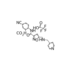 N#Cc1ccc(NC(=O)c2cc(CNCc3ccncc3)on2)c(C(=O)O)c1.O=C(O)C(F)(F)F